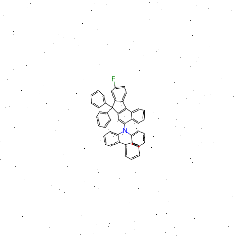 Fc1ccc2c(c1)C(c1ccccc1)(c1ccccc1)c1cc(N(c3ccccc3)c3ccccc3-c3ccccc3)c3ccccc3c1-2